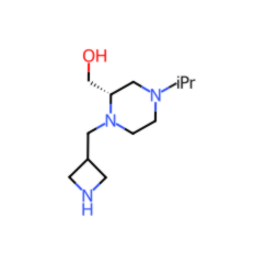 CC(C)N1CCN(CC2CNC2)[C@H](CO)C1